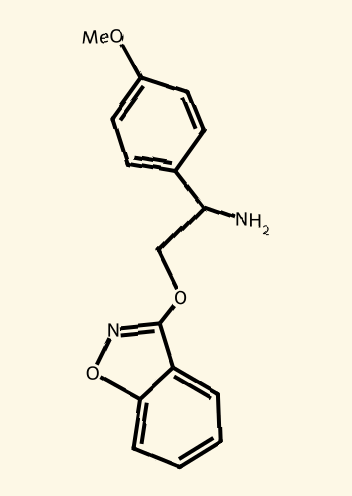 COc1ccc(C(N)COc2noc3ccccc23)cc1